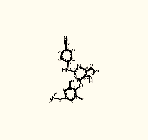 Cc1cc(CN(C)C)cc(C)c1Oc1nc(Nc2ccc(C#N)cc2)nc2cc[nH]c12